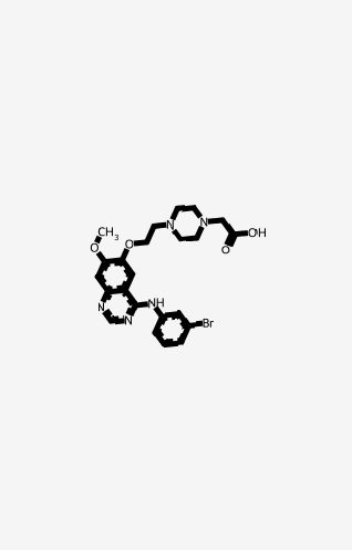 COc1cc2ncnc(Nc3cccc(Br)c3)c2cc1OCCN1CCN(CC(=O)O)CC1